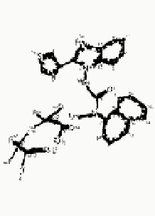 CN(C(=O)N[n+]1c(-c2cscn2)[nH]c2ccccc21)c1cccc2ccccc12.O=C(O)C(F)(F)F.O=C([O-])C(F)(F)F